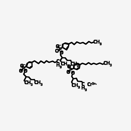 CCCCCCCCCc1ccc(P(=O)([O-])OCC(CC)CCCC)cc1.CCCCCCCCCc1ccc(P(=O)([O-])OCC(CC)CCCC)cc1.CCCCCCCCCc1ccc(P(=O)([O-])OCC(CC)CCCC)cc1.[Cr+3]